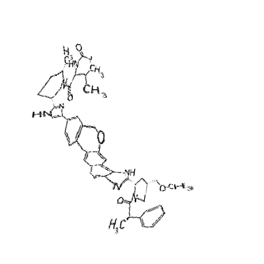 COC[C@H]1C[C@@H](c2nc3ccc4cc5c(cc4c3[nH]2)OCc2cc(-c3c[nH]c([C@@H]4CC[C@H](C)N4C(=O)[C@@H](NC(=O)I)C(C)C)n3)ccc2-5)N(C(=O)[C@H](C)c2ccccc2)C1